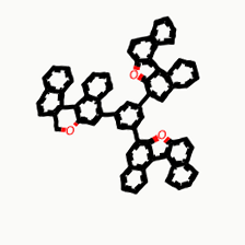 c1ccc2c3c(ccc2c1)COc1cc(-c2cc(-c4cc5ccccc5c5c4oc4ccc6ccccc6c45)cc(-c4cc5ccccc5c5c4oc4ccc6ccccc6c45)c2)c2ccccc2c1-3